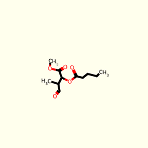 CCCCC(=O)OC(C(=O)OC)C(C)C=O